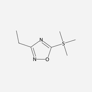 CCc1noc(S(C)(C)C)n1